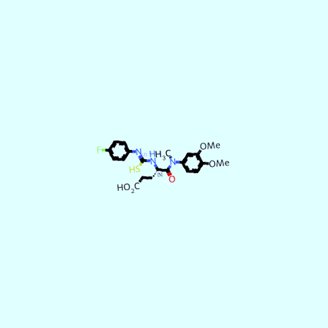 COc1ccc(N(C)C(=O)[C@H](CCC(=O)O)N/C(S)=N/c2ccc(F)cc2)cc1OC